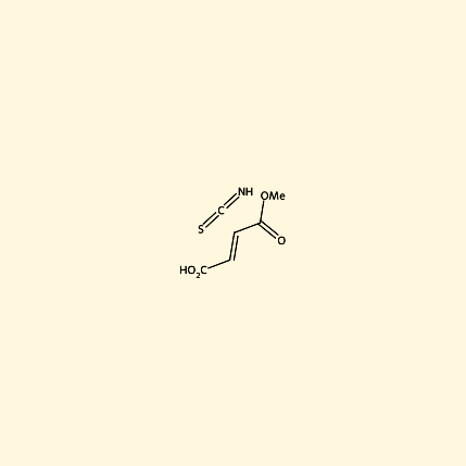 COC(=O)C=CC(=O)O.N=C=S